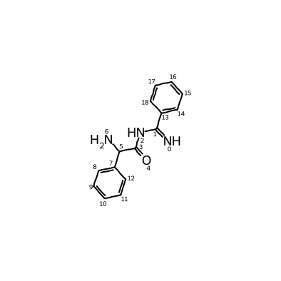 N=C(NC(=O)C(N)c1ccccc1)c1ccccc1